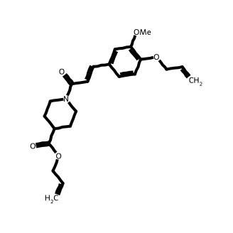 C=CCOC(=O)C1CCN(C(=O)C=Cc2ccc(OCC=C)c(OC)c2)CC1